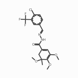 COC1=C(OC)C(C)(OC)CC(C(=O)N/N=C/c2ccc(Cl)c(C(F)(F)F)c2)=C1